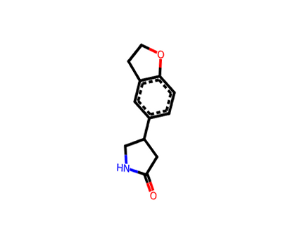 O=C1CC(c2ccc3c(c2)CCO3)CN1